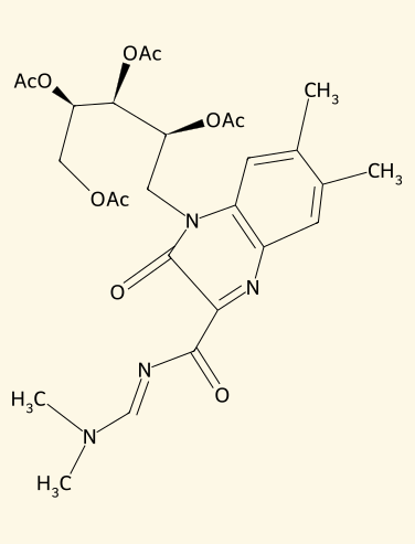 CC(=O)OC[C@@H](OC(C)=O)[C@@H](OC(C)=O)[C@H](Cn1c(=O)c(C(=O)/N=C/N(C)C)nc2cc(C)c(C)cc21)OC(C)=O